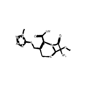 COC1(N)C(=O)N2C(C(=O)O)=C(CSc3nnnn3C)CSC21